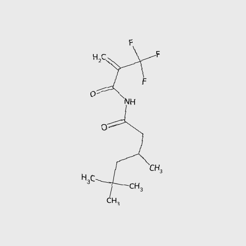 C=C(C(=O)NC(=O)CC(C)CC(C)(C)C)C(F)(F)F